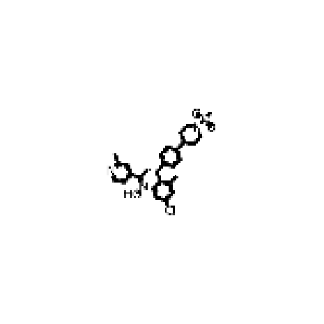 Cc1cc(/C(C[C@H](c2ccc(C3CCN(S(C)(=O)=O)CC3)cc2)c2ccc(Cl)cc2C)=N\O)ccn1